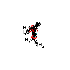 CCCCCC[C@H](C)OC(=O)c1ccc(OC(=O)C2(OC(=O)[C@H](C)OCCC)C=CC(c3ccccc3)C=C2)cc1F